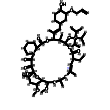 C=CCOC1CC(C=C(C)C2OC(=O)C3CCCCN3C(=O)C(=O)C3(O)OC(C(OC)CC(C)C/C(C)=C/C(CC)C(=O)CC(O[Si](C(C)C)(C(C)C)C(C)C)C2C)C(OC)CC3C)CCC1O